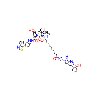 Cc1ncsc1-c1ccc(CNC(=O)[C@@H]2C[C@@H](O)CN2C(=O)[C@@H](NC(=O)CCCCCCCCCC(=O)N2CC(c3cc4cc(-c5ccccc5O)nnc4[nH]3)C2)C(C)(C)C)cc1